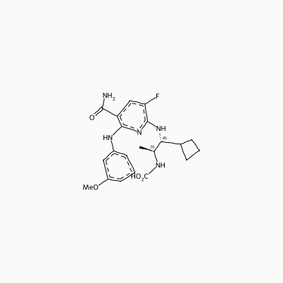 COc1cccc(Nc2nc(N[C@H](C3CCC3)[C@H](C)NC(=O)O)c(F)cc2C(N)=O)c1